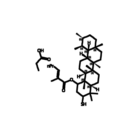 CCC(=O)O.CCCC=C(C)C(=O)OC1CC(S)C(C)(C)[C@@H]2CC[C@]3(C)[C@H](CC[C@@H]4[C@@H]5[C@@H](C)[C@H](C)CC[C@]5(C)CC[C@]43C)[C@@]12C